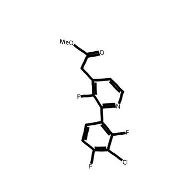 COC(=O)Cc1ccnc(-c2ccc(F)c(Cl)c2F)c1F